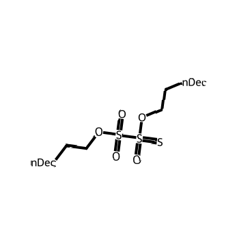 CCCCCCCCCCCCOS(=O)(=O)S(=O)(=S)OCCCCCCCCCCCC